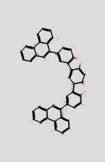 C1=c2oc3ccc(-c4cc5ccccc5c5ccccc45)cc3c2=CC2c3cc(-c4cc5ccccc5c5ccccc45)ccc3OC12